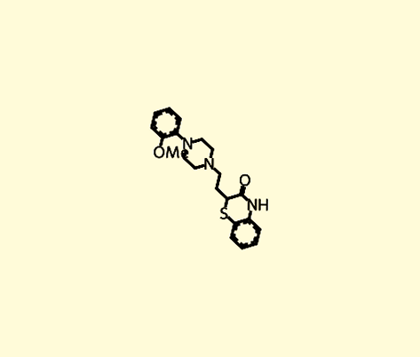 COc1ccccc1N1CCN(CCC2Sc3ccccc3NC2=O)CC1